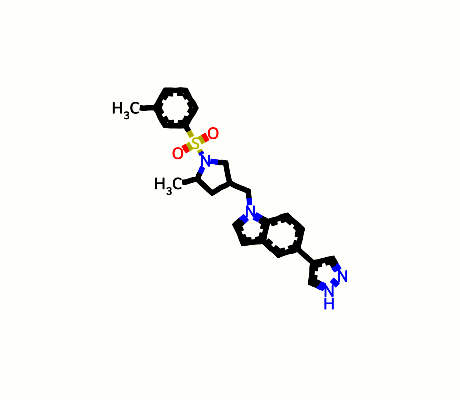 Cc1cccc(S(=O)(=O)N2CC(Cn3ccc4cc(-c5cn[nH]c5)ccc43)CC2C)c1